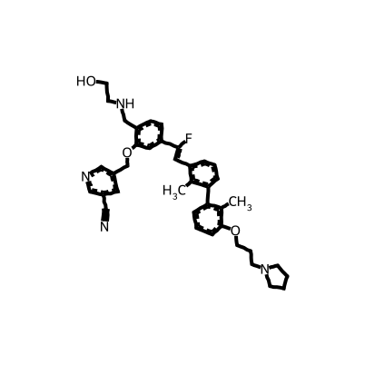 Cc1c(/C=C(\F)c2ccc(CNCCO)c(OCc3cncc(C#N)c3)c2)cccc1-c1cccc(OCCCN2CCCC2)c1C